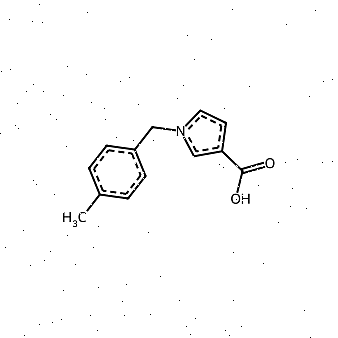 Cc1ccc(Cn2ccc(C(=O)O)c2)cc1